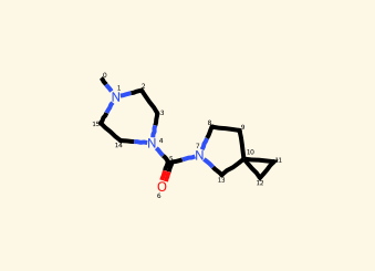 CN1CCN(C(=O)N2CCC3(CC3)C2)CC1